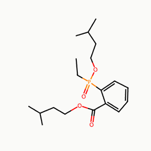 CCP(=O)(OCCC(C)C)c1ccccc1C(=O)OCCC(C)C